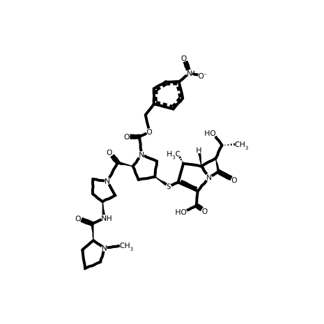 C[C@@H](O)[C@H]1C(=O)N2C(C(=O)O)=C(S[C@H]3C[C@@H](C(=O)N4CC[C@H](NC(=O)[C@@H]5CCCN5C)C4)N(C(=O)OCc4ccc([N+](=O)[O-])cc4)C3)[C@H](C)[C@H]12